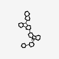 c1ccc(-c2cccc(-n3c4ccccc4c4cc(-c5ccc6c(c5)-c5ccccc5C6c5ccc6ccccc6c5)ccc43)c2)cc1